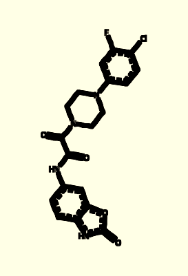 O=C(Nc1ccc2[nH]c(=O)oc2c1)C(=O)N1CCN(c2ccc(Cl)c(F)c2)CC1